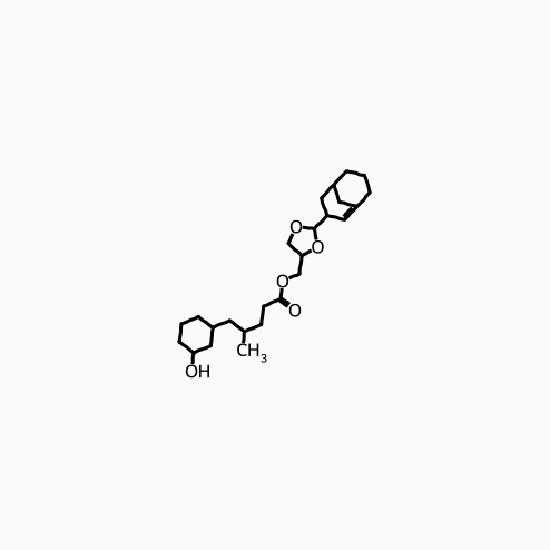 CC(CCC(=O)OCC1COC(C2C=C3CCCC(C3)C2)O1)CC1CCCC(O)C1